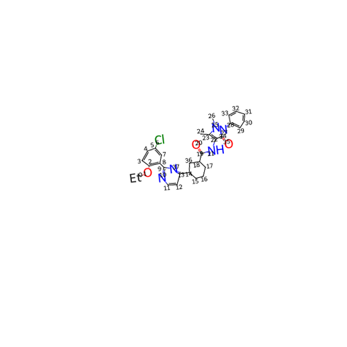 CCOc1ccc(Cl)cc1-c1nccc(C2CCCC(C(=O)Nc3c(C)n(C)n(-c4ccccc4)c3=O)C2)n1